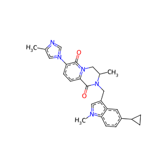 Cc1cn(-c2ccc3n(c2=O)CC(C)N(Cc2cn(C)c4ccc(C5CC5)cc24)C3=O)cn1